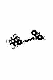 COC(=O)C1=C(C)NC(C)=C(C(=O)OC)C1c1ccc(OCCCCCNc2c3c(nc4cc(Cl)ccc24)CCCC3)cc1Cl